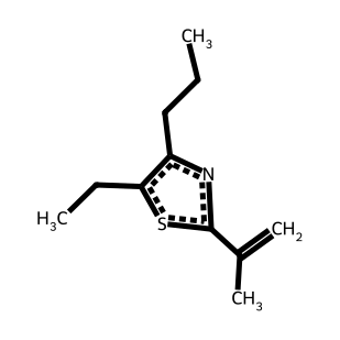 C=C(C)c1nc(CCC)c(CC)s1